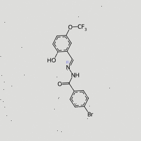 O=C(N/N=C/c1cc(OC(F)(F)F)ccc1O)c1ccc(Br)cc1